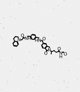 CC(CCC(=O)NC=O)N1Cc2cc(C(=O)NCc3ccc(CNC(=O)CN4CCCc5ccccc54)cc3)ccc2C1=O